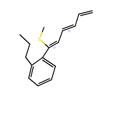 C=C/C=C/C=C(\SC)c1ccccc1CCC